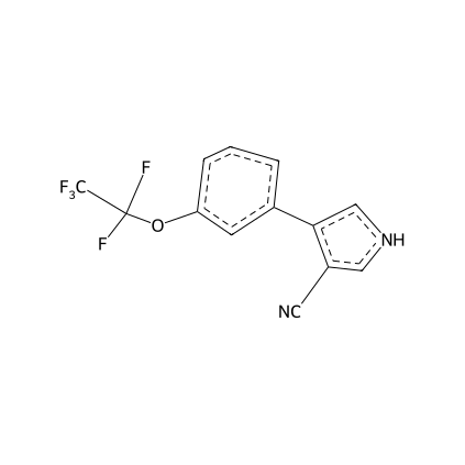 N#Cc1c[nH]cc1-c1cccc(OC(F)(F)C(F)(F)F)c1